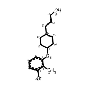 Cc1c(Br)cccc1OC1CCC(CCCO)CC1